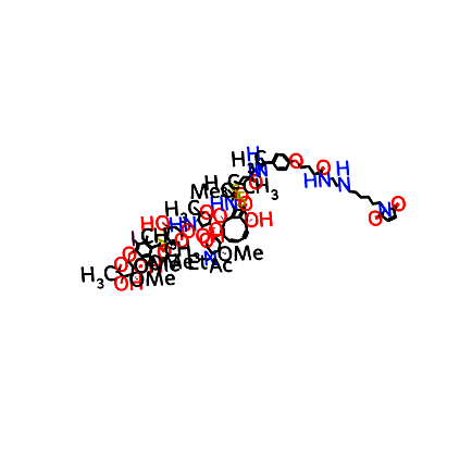 CCN(C(C)=O)[C@H]1CO[C@@H](O[C@H]2[C@H](O[C@H]3C#C/C=C\C#C[C@]4(O)CC(=O)C(NC(=O)OC)=C3/C4=C\CSSC(C)(C)CC(=O)N/N=C(\C)c3ccc(OCCCC(=O)NCCNCCCCCCN4C(=O)C=CC4=O)cc3)O[C@H](C)[C@@H](NO[C@H]3C[C@H](O)[C@H](SC(=O)c4c(C)c(I)c(O[C@@H]5O[C@@H](C)[C@H](O)[C@@H](OC)[C@H]5O)c(OC)c4OC)[C@@H](C)O3)[C@H]2O)C[C@@H]1OC